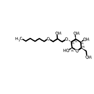 CCCCCCOCC(O)CO[C@@H]1[C@@H](O)[C@@H](O)[C@@H](CO)O[C@H]1O